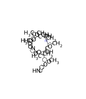 C=CCC1/C=C(\C)C(O)C(C)CC(OC)C2OC(O)(C(=O)C(=O)N3CCCCC3C(=O)OC(C(C)=CC3CCC(Oc4ccc5[nH]ccc5c4)C(OC)C3)C(C)C(O)CC1=O)C(C)CC2OC